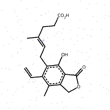 C=Cc1c(C)c2c(c(O)c1C/C=C(\C)CCC(=O)O)C(=O)OC2